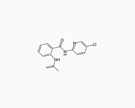 C=C(C)Nc1ccccc1C(=O)Nc1ccc(Cl)cn1